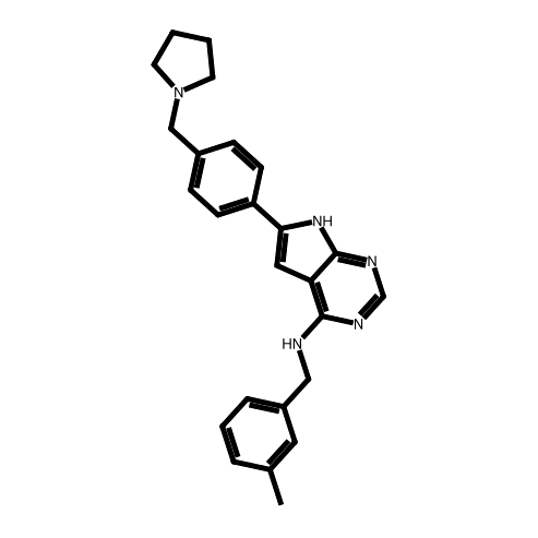 Cc1cccc(CNc2ncnc3[nH]c(-c4ccc(CN5CCCC5)cc4)cc23)c1